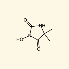 CC1(C)NC(=O)N(O)C1=O